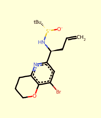 C=CC[C@H](N[S@@+]([O-])C(C)(C)C)c1cc(Br)c2c(n1)CCCO2